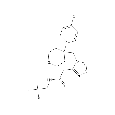 O=C(Cc1nccn1CC1(c2ccc(Cl)cc2)CCOCC1)NCC(F)(F)F